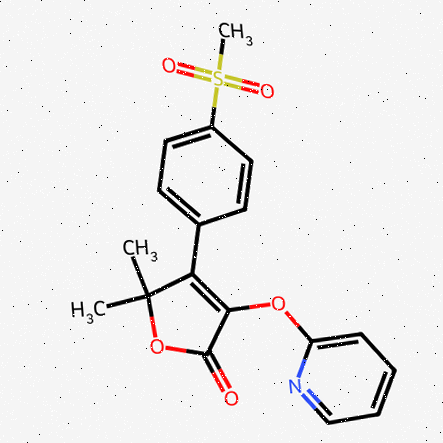 CC1(C)OC(=O)C(Oc2ccccn2)=C1c1ccc(S(C)(=O)=O)cc1